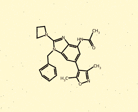 CC(=O)Nc1cc(-c2c(C)noc2C)cc2c1nc(N1CCC1)n2Cc1ccccc1